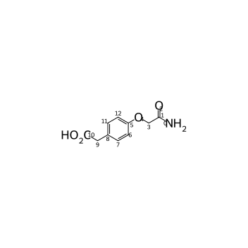 NC(=O)COc1ccc(CC(=O)O)cc1